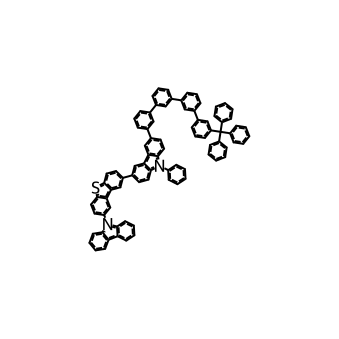 c1ccc(-n2c3ccc(-c4cccc(-c5cccc(-c6cccc(-c7cccc(C(c8ccccc8)(c8ccccc8)c8ccccc8)c7)c6)c5)c4)cc3c3cc(-c4ccc5sc6ccc(-n7c8ccccc8c8ccccc87)cc6c5c4)ccc32)cc1